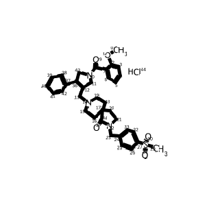 COc1ccccc1C(=O)N1CC(CN2CCC3(CC2)CCN(Cc2ccc(S(C)(=O)=O)cc2)C3=O)C(c2ccccc2)C1.Cl